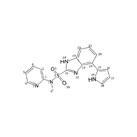 CN(c1ccccn1)S(=O)(=O)c1nc2c(-c3ccc[nH]3)cccc2[nH]1